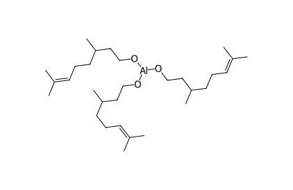 CC(C)=CCCC(C)CC[O][Al]([O]CCC(C)CCC=C(C)C)[O]CCC(C)CCC=C(C)C